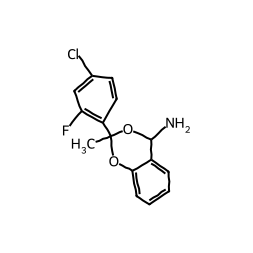 CC1(c2ccc(Cl)cc2F)Oc2ccccc2C(N)O1